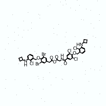 O=C(CNC(=O)c1cc(Cl)c(OCc2cccc(NC3CCC3)c2Cl)c(Cl)c1)OC(=O)Cc1cc(Br)c(OCc2cccc(NC3CCC3)c2Cl)c(Br)c1